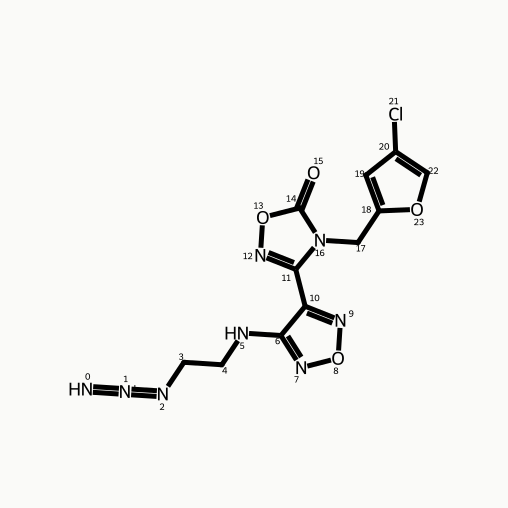 N=[N+]=NCCNc1nonc1-c1noc(=O)n1Cc1cc(Cl)co1